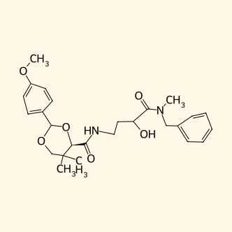 COc1ccc(C2OCC(C)(C)[C@H](C(=O)NCCC(O)C(=O)N(C)Cc3ccccc3)O2)cc1